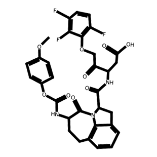 COc1ccc(OC(=O)NC2CCc3cccc4c3N(C2=O)C(C(=O)NC(CC(=O)O)C(=O)COc2c(F)ccc(F)c2F)C4)cc1